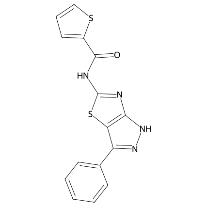 O=C(Nc1nc2[nH]nc(-c3ccccc3)c2s1)c1cccs1